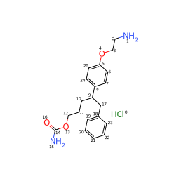 Cl.NCCOc1ccc(C(CCCOC(N)=O)Cc2ccccc2)cc1